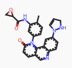 Cc1ccc(-n2c(=O)ccc3cnc4ccc(N5C=CCN5)cc4c32)cc1NC(=O)C1CO1